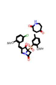 COc1ccc(Cl)cc1C=C1CN2C(=O)CC2(S(=O)(=O)c2cc(C)ccc2OC)C1=O.O=C1CCNC(=O)CC1